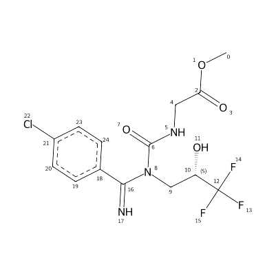 COC(=O)CNC(=O)N(C[C@H](O)C(F)(F)F)C(=N)c1ccc(Cl)cc1